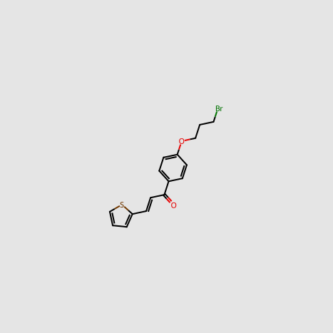 O=C(/C=C/c1cccs1)c1ccc(OCCCBr)cc1